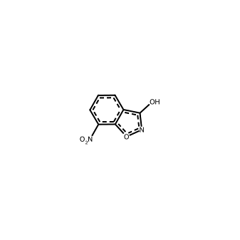 O=[N+]([O-])c1cccc2c(O)noc12